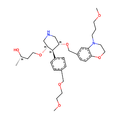 COCCCN1CCOc2ccc(CO[C@H]3CNC[C@@H](OCC[C@H](C)O)[C@@H]3c3ccc(COCCOC)cc3)cc21